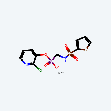 O=P([O-])(CNS(=O)(=O)c1cccs1)Oc1cccnc1Cl.[Na+]